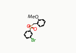 COc1ccccc1CS(=O)(=O)c1cccc(Br)c1